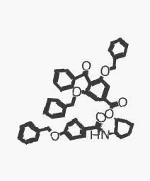 O=C(N[C@@H]1CCCC[C@H]1OC(=O)c1cc(OCc2ccccc2)c(C(=O)c2ccccc2)c(OCc2ccccc2)c1)c1ccc(OCc2ccccc2)cc1